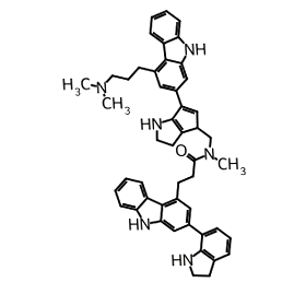 CN(C)CCCc1cc(C2=CC(CN(C)C(=O)CCc3cc(-c4cccc5c4NCC5)cc4[nH]c5ccccc5c34)C3=C2NCC3)cc2[nH]c3ccccc3c12